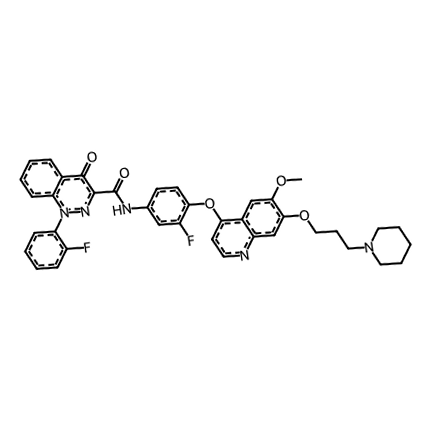 COc1cc2c(Oc3ccc(NC(=O)c4nn(-c5ccccc5F)c5ccccc5c4=O)cc3F)ccnc2cc1OCCCN1CCCCC1